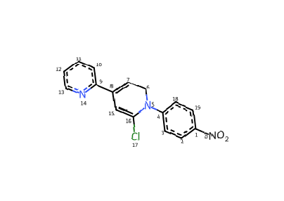 O=[N+]([O-])c1ccc(N2CC=C(c3ccccn3)C=C2Cl)cc1